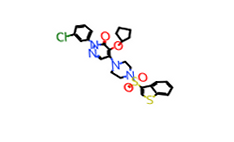 O=c1c(OC2CCCC2)c(N2CCN(S(=O)(=O)c3csc4ccccc34)CC2)cnn1-c1cccc(Cl)c1